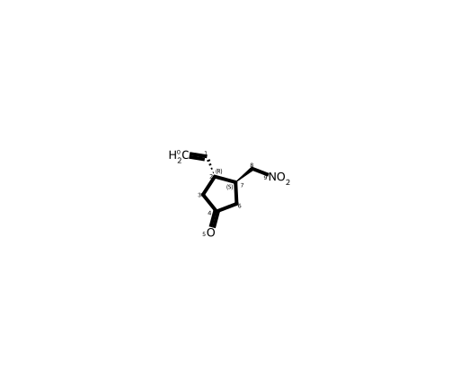 C=C[C@H]1CC(=O)C[C@@H]1C[N+](=O)[O-]